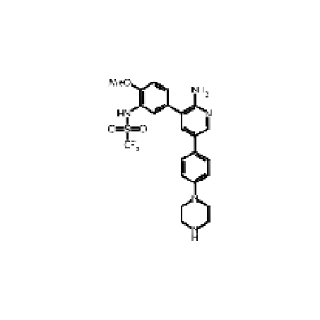 COc1ccc(-c2cc(-c3ccc(N4CCNCC4)cc3)cnc2N)cc1NS(=O)(=O)C(F)(F)F